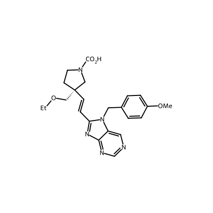 CCOC[C@]1(C=Cc2nc3ncncc3n2Cc2ccc(OC)cc2)CCN(C(=O)O)C1